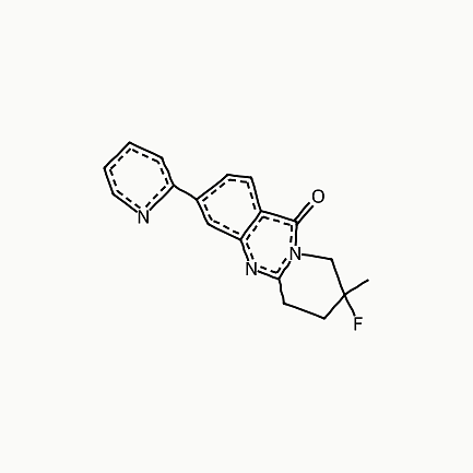 CC1(F)CCc2nc3cc(-c4ccccn4)ccc3c(=O)n2C1